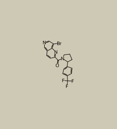 O=C(c1ccc2cncc(Br)c2n1)N1CCCC1c1ccc(C(F)(F)F)cc1